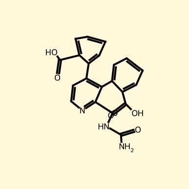 NC(=O)NC(=O)c1nccc(-c2ccccc2C(=O)O)c1-c1ccccc1C(=O)O